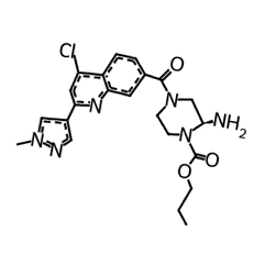 CCCOC(=O)N1CCN(C(=O)c2ccc3c(Cl)cc(-c4cnn(C)c4)nc3c2)C[C@H]1N